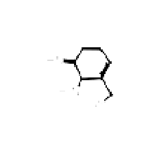 N=C1CCC=C(CO)C1N